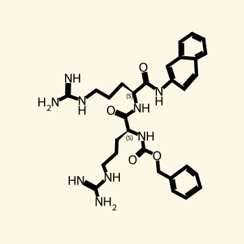 N=C(N)NCCC[C@H](NC(=O)OCc1ccccc1)C(=O)N[C@@H](CCCNC(=N)N)C(=O)Nc1ccc2ccccc2c1